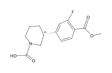 COC(=O)c1ccc([C@H]2CCCN(C(=O)O)C2)cc1F